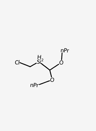 CCCOC(OCCC)[SiH2]CCl